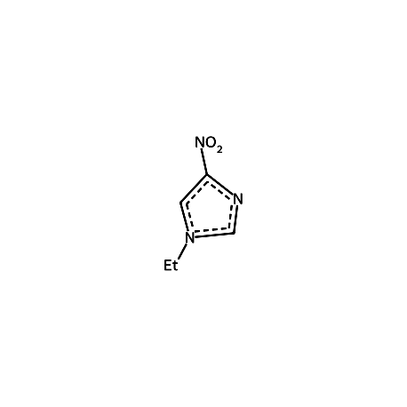 [CH2]Cn1cnc([N+](=O)[O-])c1